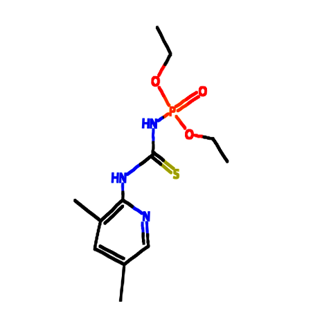 CCOP(=O)(NC(=S)Nc1ncc(C)cc1C)OCC